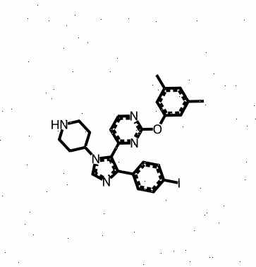 Cc1cc(C)cc(Oc2nccc(-c3c(-c4ccc(I)cc4)ncn3C3CCNCC3)n2)c1